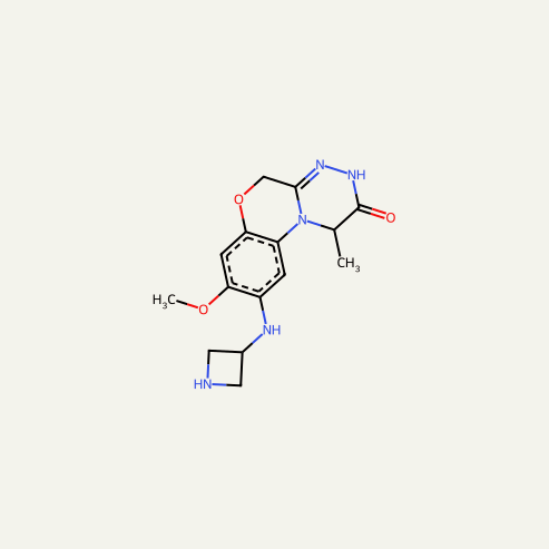 COc1cc2c(cc1NC1CNC1)N1C(=NNC(=O)C1C)CO2